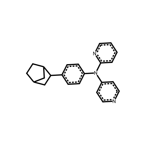 c1ccc(N(c2ccncc2)c2ccc(C3CC4CCC3C4)cc2)nc1